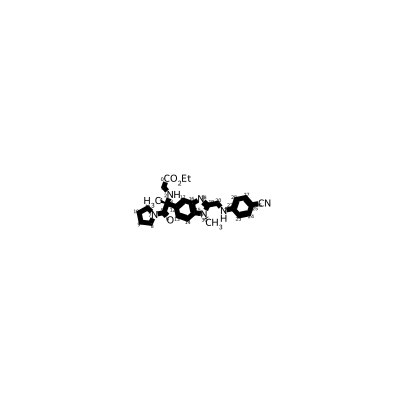 CCOC(=O)CN[C@@](C)(C(=O)N1CCCC1)c1ccc2c(c1)nc(CNc1ccc(C#N)cc1)n2C